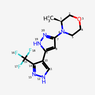 C[C@H]1COCCN1c1cc(-c2c[nH]nc2C(F)(F)F)[nH]n1